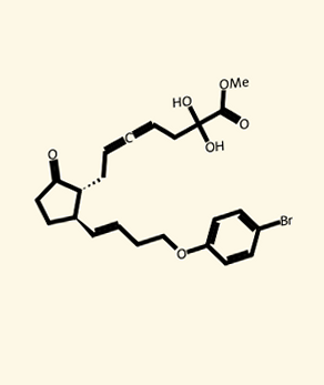 COC(=O)C(O)(O)CC=C=CC[C@H]1C(=O)CC[C@@H]1/C=C/CCOc1ccc(Br)cc1